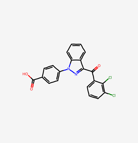 O=C(O)c1ccc(-n2nc(C(=O)c3cccc(Cl)c3Cl)c3ccccc32)cc1